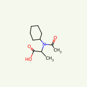 CC(=O)N(C1CCCCC1)C(C)C(=O)O